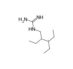 CC[C](CC)C(CC)CNC(=N)N